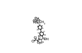 C[C@@H](NS(C)(=O)=O)c1ccc(-c2ccc([C@H](O)[C@@H](CF)NC(=O)C(Cl)Cl)cc2)cc1